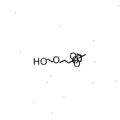 CC12COC(CCCOCCO)(OC1)OC2